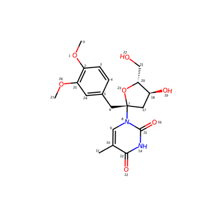 COc1ccc(C[C@]2(n3cc(C)c(=O)[nH]c3=O)C[C@H](O)[C@@H](CO)O2)cc1OC